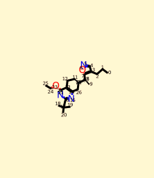 CCCc1cnoc1[C@@H](C)[C@@H]1CCc2c(nc(C(C)(C)C)nc2OCC)C1